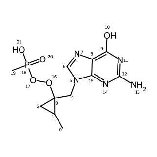 CC1CC1(Cn1cnc2c(O)nc(N)nc21)OOP(C)(=O)O